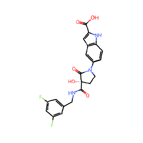 O=C(O)c1cc2cc(N3CC[C@@](O)(C(=O)NCc4cc(F)cc(F)c4)C3=O)ccc2[nH]1